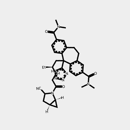 CC[C@@H](CC1(c2nnn[nH]2)c2ccc(C(=O)N(C)C)cc2CCc2cc(C(=O)N(C)C)ccc21)NCC(=O)N1C(C#N)C[C@@H]2C[C@@H]21